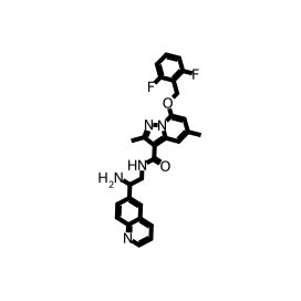 Cc1cc(OCc2c(F)cccc2F)n2nc(C)c(C(=O)NCC(N)c3ccc4ncccc4c3)c2c1